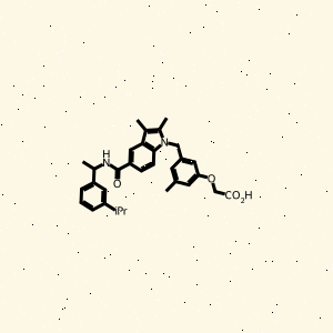 Cc1cc(Cn2c(C)c(C)c3cc(C(=O)NC(C)c4cccc(C(C)C)c4)ccc32)cc(OCC(=O)O)c1